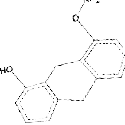 NOc1cccc2c1Cc1c(O)cccc1C2